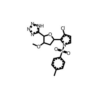 COC1CC(c2c(Cl)ccn2S(=O)(=O)c2ccc(C)cc2)OC1c1nnn[nH]1